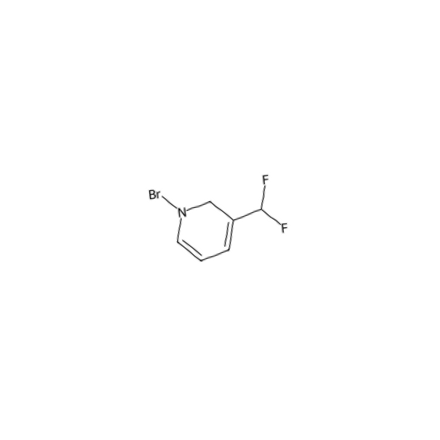 FC(F)C1=CC=CN(Br)C1